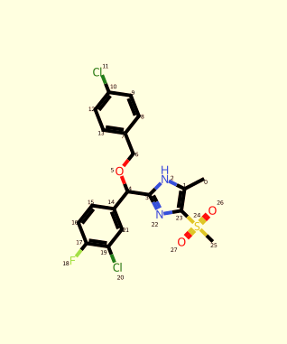 Cc1[nH]c(C(OCc2ccc(Cl)cc2)c2ccc(F)c(Cl)c2)nc1S(C)(=O)=O